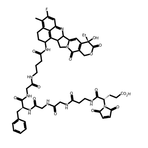 CC[C@@]1(O)C(=O)OCc2c1cc1n(c2=O)CC2C3=c4c(c(C)c(F)cc4=NC12)CCC3NC(=O)CCCNC(=O)CNC(=O)[C@H](Cc1ccccc1)NC(=O)CNC(=O)CNC(=O)CCNC(=O)[C@H](CCC(=O)O)N1C(=O)C=CC1=O